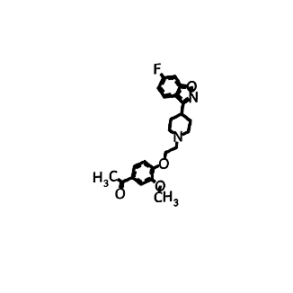 COc1cc(C(C)=O)ccc1OCCN1CCC(c2noc3cc(F)ccc23)CC1